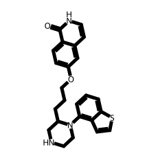 O=c1[nH]ccc2cc(OCCCC3CNCCN3c3cccc4sccc34)ccc12